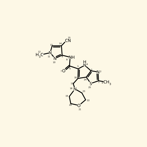 Cc1nc2[nH]c(C(=O)Nc3nn(C)cc3C#N)c(CN3CCOCC3)c2s1